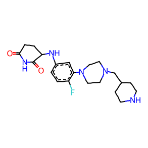 O=C1CCC(Nc2ccc(F)c(N3CCN(CC4CCNCC4)CC3)c2)C(=O)N1